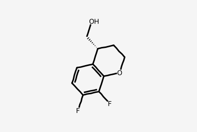 OC[C@@H]1CCOc2c1ccc(F)c2F